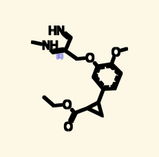 CCOC(=O)C1CC1c1ccc(OC)c(OC/C(C=N)=C/NC)c1